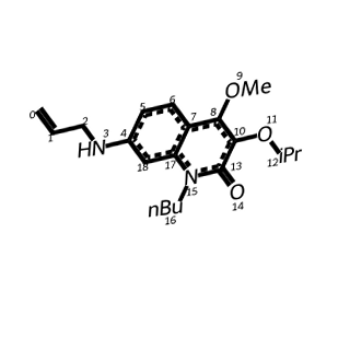 C=CCNc1ccc2c(OC)c(OC(C)C)c(=O)n(CCCC)c2c1